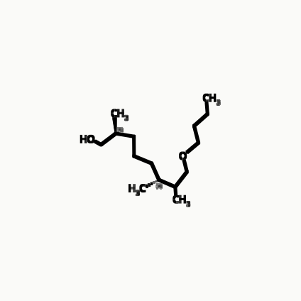 CCCCOCC(C)[C@H](C)CCC[C@H](C)CO